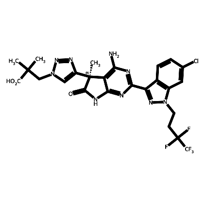 CC(C)(Cn1cc([C@]2(C)C(=O)Nc3nc(-c4nn(CCC(F)(F)C(F)(F)F)c5cc(Cl)ccc45)nc(N)c32)nn1)C(=O)O